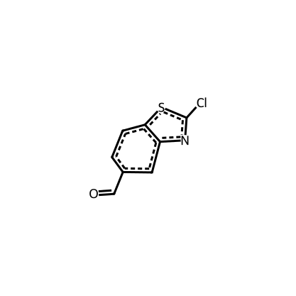 O=Cc1ccc2sc(Cl)nc2c1